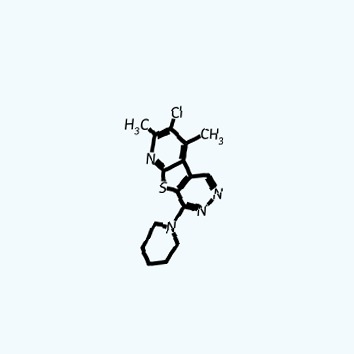 Cc1nc2sc3c(N4CCCCC4)nncc3c2c(C)c1Cl